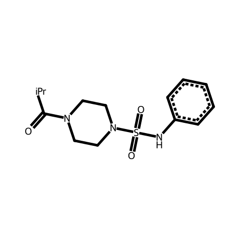 CC(C)C(=O)N1CCN(S(=O)(=O)Nc2ccccc2)CC1